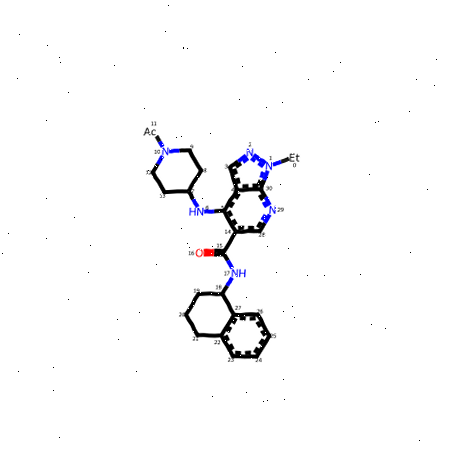 CCn1ncc2c(NC3CCN(C(C)=O)CC3)c(C(=O)NC3CCCc4ccccc43)cnc21